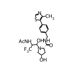 CC(=O)NC(C(O)N1C[C@H](O)C[C@H]1C(=O)NCc1ccc(-c2scnc2C)cc1)C(F)(F)F